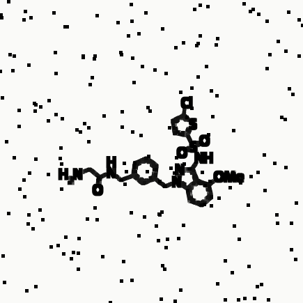 COc1cccc2c1c(NS(=O)(=O)c1ccc(Cl)s1)nn2Cc1cccc(CNC(=O)CN)c1